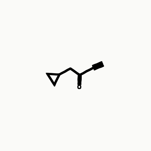 C#CC(=O)CC1CC1